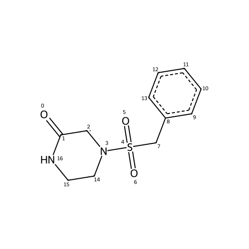 O=C1[CH]N(S(=O)(=O)Cc2ccccc2)CCN1